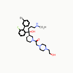 CCc1cccc(-c2c(F)cccc2[C@](O)(CCCNC(=O)O)[C@@H]2CCCN(C(=O)CN3CCN(CCO)CC3)C2)c1